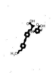 CCCCc1ccc(C#Cc2ccc(CC(Nc3ccc(F)c(C(=O)O)c3)C3CC3C(=O)O)cc2)cc1